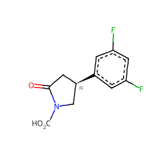 O=C(O)N1C[C@H](c2cc(F)cc(F)c2)CC1=O